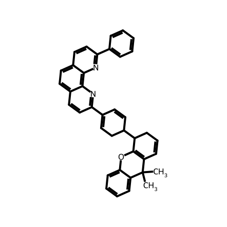 CC1(C)C2=C(Oc3ccccc31)C(C1C=CC(c3ccc4ccc5ccc(-c6ccccc6)nc5c4n3)=CC1)CC=C2